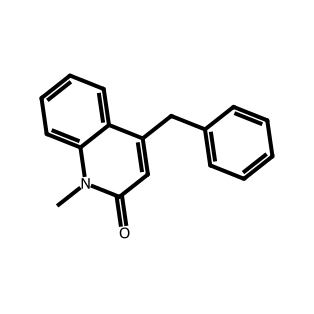 Cn1c(=O)cc(Cc2ccccc2)c2ccccc21